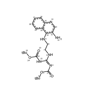 CC(C)(C)OC(=O)N=C(NCCNc1c(N)cnc2ccccc12)NC(=O)OC(C)(C)C